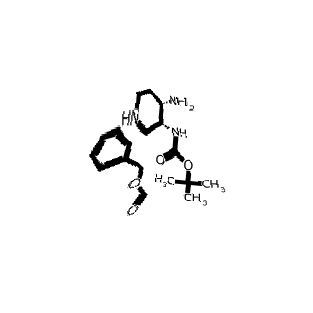 CC(C)(C)OC(=O)N[C@@H]1CNCC[C@@H]1N.O=COCc1ccccc1